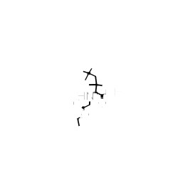 CCOC(=O)CN[C@H](C(=O)O)C(C)(C)CC(C)(C)C